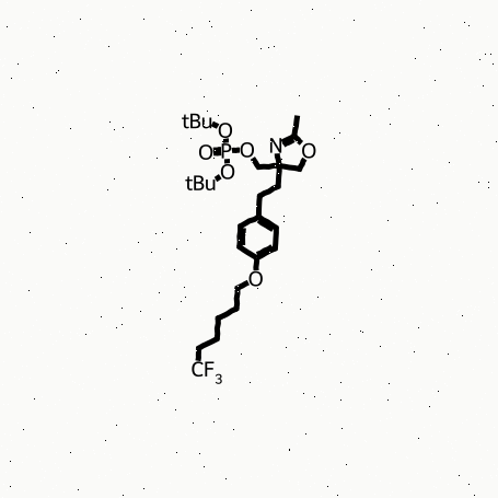 CC1=NC(CCc2ccc(OCCCCCC(F)(F)F)cc2)(COP(=O)(OC(C)(C)C)OC(C)(C)C)CO1